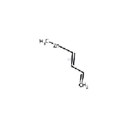 C=C/C=[CH]/[Zn][CH3]